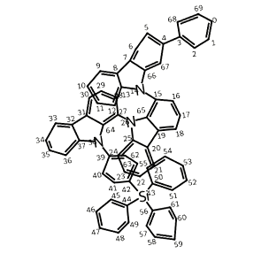 c1ccc(-c2ccc3c4ccccc4n(-c4cccc5c6ccccc6n(-c6cccc7c8ccccc8n(-c8ccc([Si](c9ccccc9)(c9ccccc9)c9ccccc9)cc8)c67)c45)c3c2)cc1